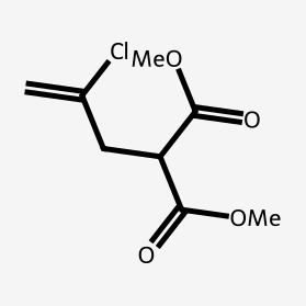 C=C(Cl)CC(C(=O)OC)C(=O)OC